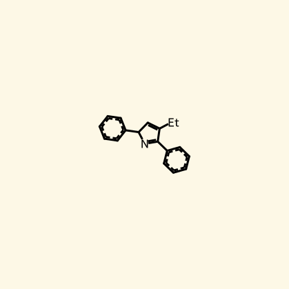 CCC1=CC(c2ccccc2)N=C1c1ccccc1